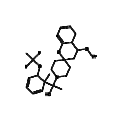 CC(C)OC1CC2(CCN(C(C)(O)C3(C)C=CC=CC3OC(C)(F)F)CC2)OC2=CC=CCC21